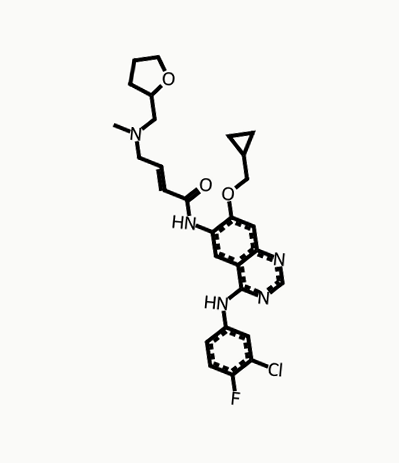 CN(CC=CC(=O)Nc1cc2c(Nc3ccc(F)c(Cl)c3)ncnc2cc1OCC1CC1)CC1CCCO1